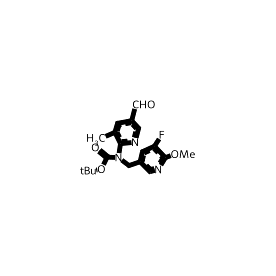 COc1ncc(CN(C(=O)OC(C)(C)C)c2ncc(C=O)cc2C)cc1F